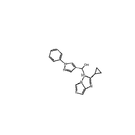 OC(c1cnn(-c2ccccc2)c1)[SH]1C(C2CC2)=Nc2cncn21